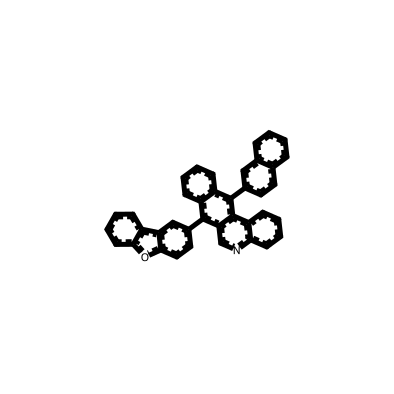 c1ccc2cc(-c3c4ccccc4c(-c4ccc5oc6ccccc6c5c4)c4cnc5ccccc5c34)ccc2c1